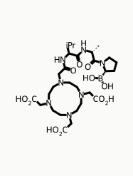 CC(C)C(NC(=O)CN1CCN(CC(=O)O)CCN(CC(=O)O)CCN(CC(=O)O)CC1)C(=O)N[C@H](C)C(=O)N1CCC[C@H]1B(O)O